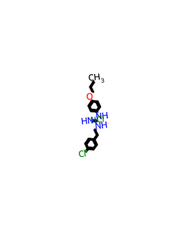 CCCCOc1ccc(NC(=N)NCCc2ccc(Cl)cc2)cc1.Cl